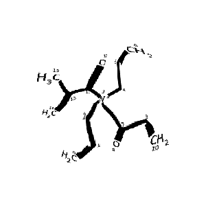 C=CC[N+](CC=C)(C(=O)C=C)C(=O)C(=C)C